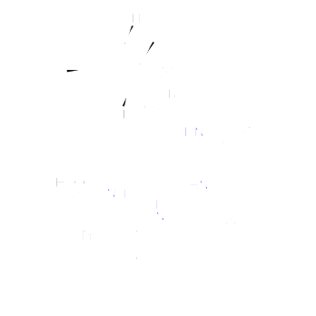 CC(C)[C@H](NC(=O)O)C(=O)N[C@@H](Cc1ccccc1)C(=O)N[C@@H](C)C(=O)NCB1O[C@@H]2C[C@@H]3C[C@@H](C3(C)C)[C@]2(C)O1